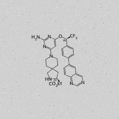 CCOC(=O)[C@@H]1CC2(CCN(c3cc(O[C@H](c4ccc(-c5ccc6ncncc6c5)cc4)C(F)(F)F)nc(N)n3)CC2)CN1